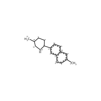 Cc1cnc2cc(C3CCC(C)CN3)ccc2c1